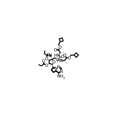 CCC(=O)O[C@H]1[C@H](c2ccc3c(N)ncnn23)O[C@](C#N)(COP(=O)(N[C@@H](C)C(=O)OCC2CCC2)N[C@@H](C)C(=O)OCC2CCC2)[C@H]1OC(=O)CC